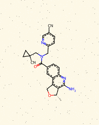 C[C@@H]1OCc2c1c(N)nc1ccc(C(=O)N(Cc3ccc(C#N)cn3)CC3(C#N)CC3)cc21